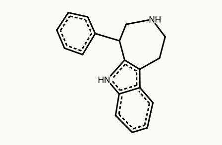 c1ccc(C2CNCCc3c2[nH]c2ccccc32)cc1